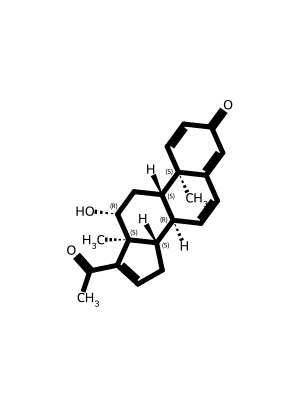 CC(=O)C1=CC[C@H]2[C@@H]3C=CC4=CC(=O)C=C[C@]4(C)[C@H]3C[C@@H](O)[C@]12C